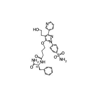 NC(=O)[C@H](Cc1ccccc1)NC(=O)CCCOc1c(CCO)c(-c2cccnc2)nn1-c1ccc(S(N)(=O)=O)cc1